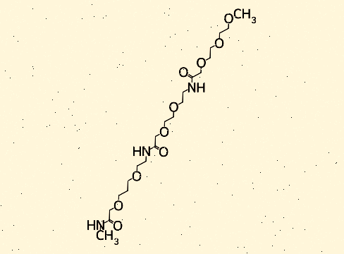 CNC(=O)COCCCOCCNC(=O)COCCOCCNC(=O)COCCOCCOC